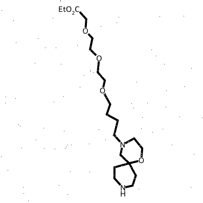 CCOC(=O)COCCOCCOCCCCN1CCOC2(CCNCC2)C1